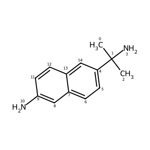 CC(C)(N)c1ccc2cc(N)ccc2c1